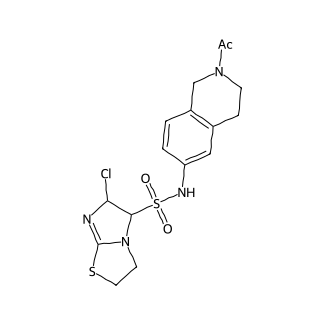 CC(=O)N1CCc2cc(NS(=O)(=O)C3C(Cl)N=C4SCCN43)ccc2C1